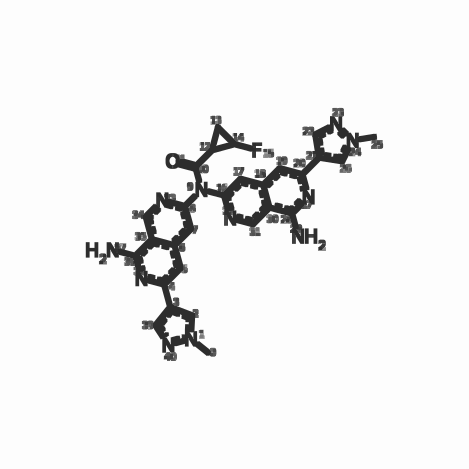 Cn1cc(-c2cc3cc(N(C(=O)C4CC4F)c4cc5cc(-c6cnn(C)c6)nc(N)c5cn4)ncc3c(N)n2)cn1